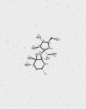 C[C@@H]1C[C@H](O)[C@](O)(Cl)[C@@](Cl)(O[C@]2(CO)O[C@H](CCl)[C@@H](O)[C@@H]2O)O1